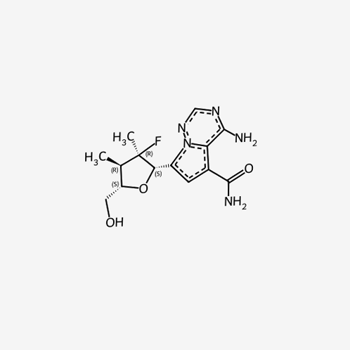 C[C@@H]1[C@@H](CO)O[C@@H](c2cc(C(N)=O)c3c(N)ncnn23)[C@]1(C)F